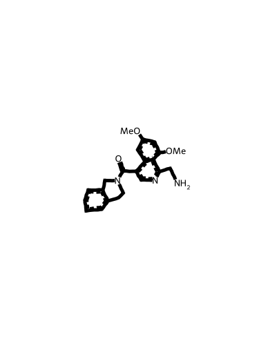 COc1cc(OC)c2c(CN)ncc(C(=O)N3CCc4ccccc4C3)c2c1